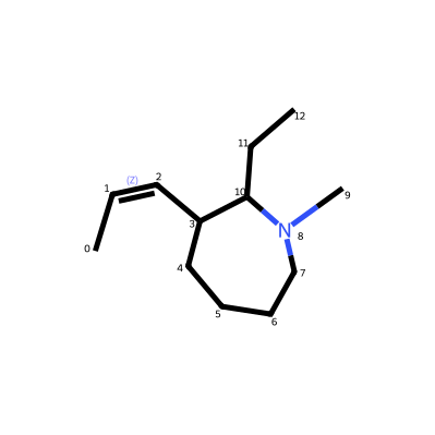 C/C=C\C1CCCCN(C)C1CC